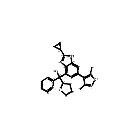 Cc1noc(C)c1-c1cc(C(O)(c2ccccn2)C2CCCO2)c2nc(C3CC3)[nH]c2c1